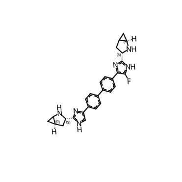 Fc1[nH]c([C@@H]2CC3C[C@H]3N2)nc1-c1ccc(-c2ccc(-c3c[nH]c([C@@H]4C[C@H]5CC5N4)n3)cc2)cc1